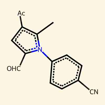 CC(=O)c1cc(C=O)n(-c2ccc(C#N)cc2)c1C